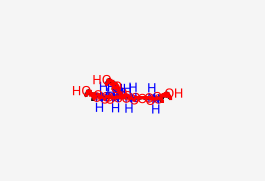 C=CCc1cc(C(C)(C)c2ccc(OC(=O)NCCNC(=O)OCCCCOCCCCOC(=O)NCCNC(=O)OCCC(CCOC(=O)NCCNC(=O)OCOC(=O)NCCNC(=O)Oc3ccc(C(C)(C)c4ccc(O)c(CC=C)c4)cc3CC=C)COC(=O)NCCNC(=O)Oc3ccc(C(C)(C)c4ccc(O)c(CC=C)c4)cc3CC=C)c(CC=C)c2)ccc1O